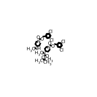 CN(C(=O)OC(C)(C)C)C1CCN(C(=O)OCc2cc(Cl)cc(Cl)c2)CC1.CNC1CCN(C(=O)OCc2cc(Cl)cc(Cl)c2)CC1